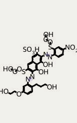 O=[N+]([O-])c1ccc(/N=N/c2c(S(=O)(=O)O)cc3cc(SOOO)c(/N=N/c4cc(OCCO)ccc4CCCO)c(O)c3c2O)c(SOOO)c1